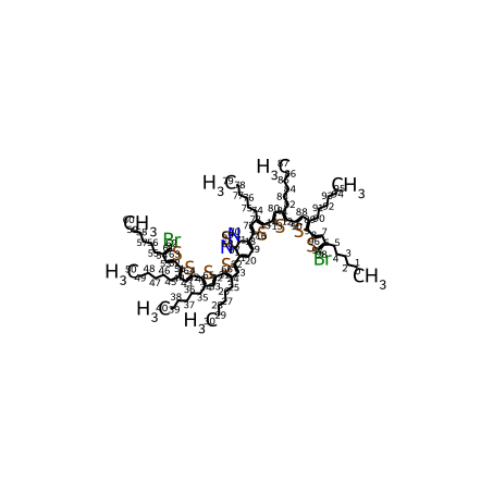 CCCCCCc1cc(-c2sc(-c3sc(-c4sc(-c5ccc(-c6cc(CCCCCC)c(-c7cc(CCCCCC)c(-c8cc(CCCCCC)c(-c9cc(CCCCCC)c(Br)s9)s8)s7)s6)c6nsnc56)cc4CCCCCC)cc3CCCCCC)cc2CCCCCC)sc1Br